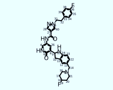 O=C(Nc1c[nH]c(=O)c(C2Cc3cc(CN4CCC(F)CC4)ccc3N2)c1)c1cnn(CCc2ccc(F)cc2)c1